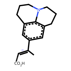 C/C(=C\C(=O)O)c1cc2c3c(c1)CCCN3CCC2